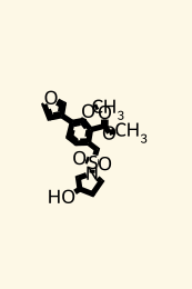 COC(=O)c1c(CS(=O)(=O)N2CCC(O)C2)ccc(-c2ccoc2)c1OC